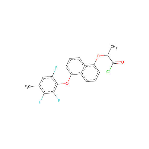 CC(Oc1cccc2c(Oc3c(F)cc(C(F)(F)F)c(F)c3F)cccc12)C(=O)Cl